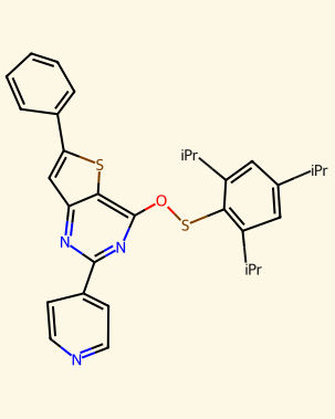 CC(C)c1cc(C(C)C)c(SOc2nc(-c3ccncc3)nc3cc(-c4ccccc4)sc23)c(C(C)C)c1